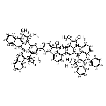 Cc1c(C)n2c3c(cc(-c4cccc5c4C(C)(C)c4ccc(-c6cc7c8c(c6)[Si](C)(C)c6c(sc9ccccc69)B8c6cc8ccccc8c8c(C)c(C)n-7c68)cc4-5)cc13)B1C3=C(c4ccccc4C3(C)C)N(c3ccccc3)c3cccc-2c31